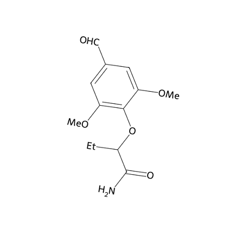 CCC(Oc1c(OC)cc(C=O)cc1OC)C(N)=O